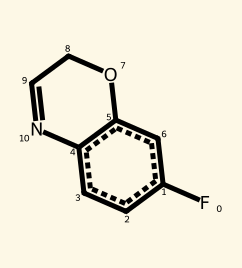 Fc1ccc2c(c1)OCC=N2